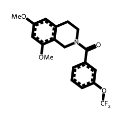 COc1cc2c(c(OC)c1)CN(C(=O)c1cccc(OC(F)(F)F)c1)CC2